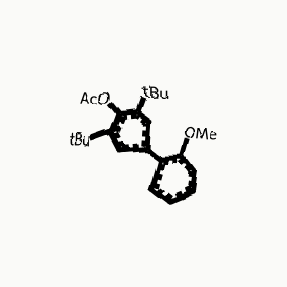 COc1ccccc1-c1cc(C(C)(C)C)c(OC(C)=O)c(C(C)(C)C)c1